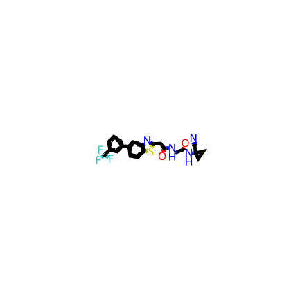 N#CC1(NC(=O)CNC(=O)Cc2nc3cc(-c4cccc(C(F)(F)F)c4)ccc3s2)CC1